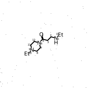 CCNCCC(=O)N1CCN(CC)CC1